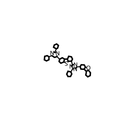 c1ccc(-c2cc(-c3ccc4sc5c(-c6nc(-c7ccccc7)nc(-c7ccc8oc9ccccc9c8c7)n6)cccc5c4c3)nc(-c3ccccc3)n2)cc1